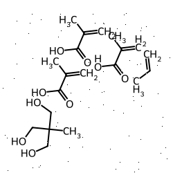 C=C(C)C(=O)O.C=C(C)C(=O)O.C=C(C)C(=O)O.C=CC.CC(CO)(CO)CO